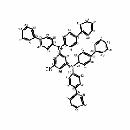 Clc1cc(N(c2ccc(C3=CC=CCC3)cc2)c2ccc(-c3ccccc3)cc2)cc(N(c2ccc(-c3ccccc3)cc2)c2ccc(-c3ccccc3)cc2)c1